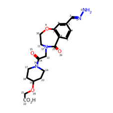 NN=Cc1ccc2c(c1)OCCN(CC(=O)N1CCC(OCC(=O)O)CC1)C2=O